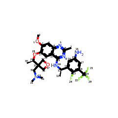 COc1cc2nc(C)nc(N[C@H](C)c3cc(N)cc(C(F)(F)F)c3F)c2cc1O[C@H](C)C1(CN(C)C)COC1